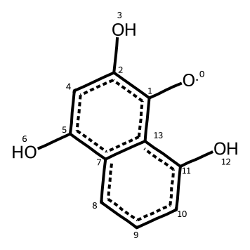 [O]c1c(O)cc(O)c2cccc(O)c12